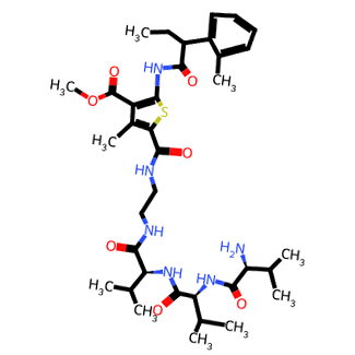 CCC(C(=O)Nc1sc(C(=O)NCCNC(=O)[C@@H](NC(=O)[C@@H](NC(=O)[C@@H](N)C(C)C)C(C)C)C(C)C)c(C)c1C(=O)OC)c1ccccc1C